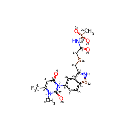 Cn1c(C(F)(F)F)cc(=O)n(-c2ccc3snc(CSCC(=O)NS(C)(=O)=O)c3c2)c1=O